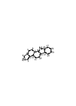 C1=NC=c2c1ccc1c3c(ccc21)-c1ccccc1N=3